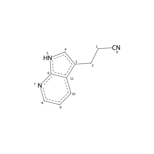 N#CCCc1c[nH]c2ncccc12